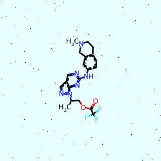 CC(COC(=O)C(F)(F)F)n1ncc2cnc(Nc3ccc4c(c3)CN(C)CC4)nc21